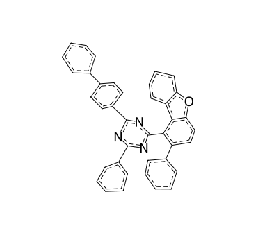 c1ccc(-c2ccc(-c3nc(-c4ccccc4)nc(-c4c(-c5ccccc5)ccc5oc6ccccc6c45)n3)cc2)cc1